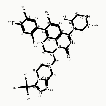 C[C@@H]1CN(c2nc(=O)n3c4c(c(-c5cc(Cl)c(F)cc5F)c(Cl)cc24)SC[C@@H]3CN2CCn3c(nnc3C(F)(F)F)C2)[C@@H](C)CN1